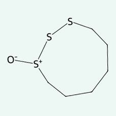 [O-][S+]1CCCCCCSS1